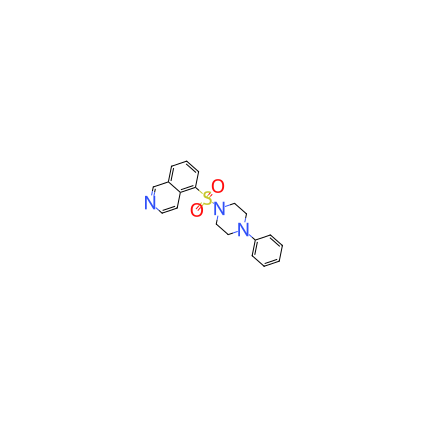 O=S(=O)(c1cccc2cnccc12)N1CCN(c2ccccc2)CC1